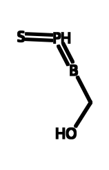 OCB=[PH]=S